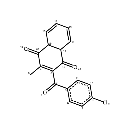 CC1=C(C(=O)c2ccc(Cl)cc2)C(=O)C2C=CC=CC2C1=O